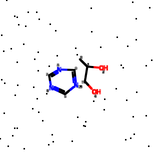 CC(O)CO.c1ncncn1